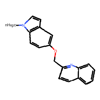 CCCCCCCn1ccc2cc(OCc3ccc4ccccc4n3)ccc21